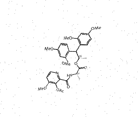 COc1ccc(C(c2ccc(OC)cc2OC)[C@H](C)OC(=O)[C@H](C)NC(=O)c2nccc(OC)c2OC(C)=O)c(OC)c1